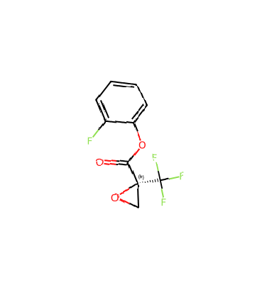 O=C(Oc1ccccc1F)[C@@]1(C(F)(F)F)CO1